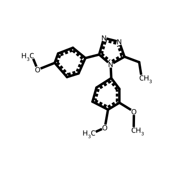 CCc1nnc(-c2ccc(OC)cc2)n1-c1ccc(OC)c(OC)c1